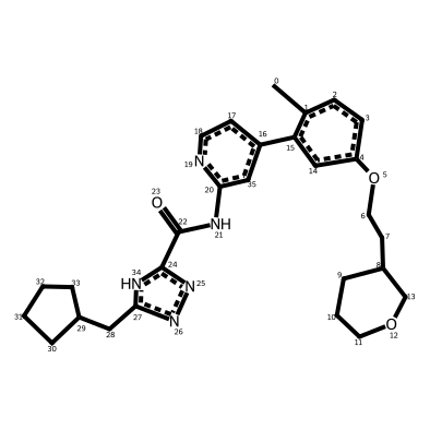 Cc1ccc(OCCC2CCCOC2)cc1-c1ccnc(NC(=O)c2nnc(CC3CCCC3)[nH]2)c1